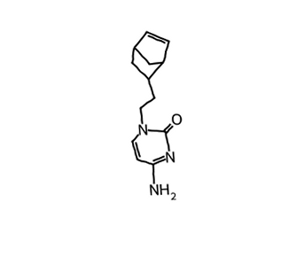 Nc1ccn(CCC2CC3C=CC2C3)c(=O)n1